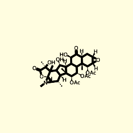 CC(=O)O[C@H]1C2C([C@@H]3[C@@H](O)C4[C@H]([C@H](C)[C@H]5N(C)[C@]56OC(=O)[C@@](C)(O)C46C)[C@@]3(C)[C@H]1OC(C)=O)[C@@H](O)C(=O)[C@H]1C[C@@H]3O[C@@H]3[C@H](OC(C)=O)[C@]21C